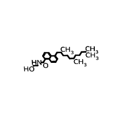 CC(C)CCCC(C)CCCC(C)Cc1cccc2c(C(=O)NCCO)cccc12